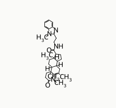 CC1=C2N(C)C(=O)CC[C@]2(C)[C@@H]2CC[C@]3(C)C(C(=O)NCCc4nc5ccccc5n4C)CC[C@H]3[C@@H]2C1